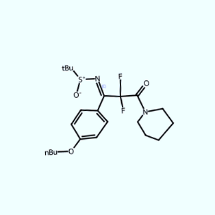 CCCCOc1ccc(/C(=N\[S+]([O-])C(C)(C)C)C(F)(F)C(=O)N2CCCCC2)cc1